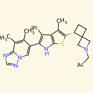 CC(=O)CN1CC2(CC[C@H]2c2sc3[nH]c(-c4cn5ncnc5c(C)c4C)c(C(C)C)c3c2C)C1